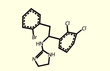 Clc1cccc(C(Cc2ccccc2Br)NC2=NCCN2)c1Cl